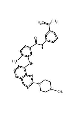 C=C(C)c1cccc(NC(=O)c2ccc(C)c(Nc3ncnc4cnc(N5CCN(C)CC5)nc34)c2)c1